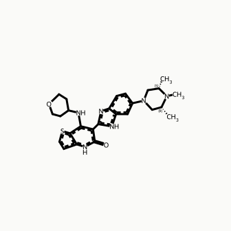 C[C@@H]1CN(c2ccc3nc(-c4c(NC5CCOCC5)c5sccc5[nH]c4=O)[nH]c3c2)C[C@H](C)N1C